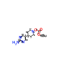 CC(C)(C)OC(=O)ON1CCC(c2cnc(N)nc2)CC1